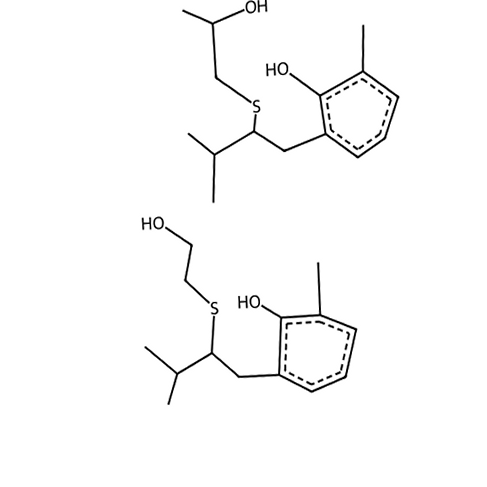 Cc1cccc(CC(SCC(C)O)C(C)C)c1O.Cc1cccc(CC(SCCO)C(C)C)c1O